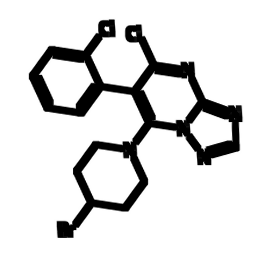 Clc1ccccc1-c1c(Cl)nc2ncnn2c1N1CCC(Br)CC1